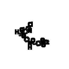 CCS(=O)(=O)c1ccc(CC(=O)Nc2ccc(OC(C)Cc3ncc(Cl)cc3Cl)cc2)cc1